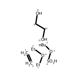 C=C.CCCCOS(=O)(=O)O.CCOCC.OCCO